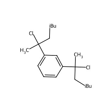 CCC(C)CC(C)(Cl)c1cccc(C(C)(Cl)CC(C)CC)c1